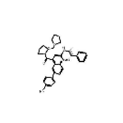 C[C@@H](Nc1cc(C(=O)N2CCC[C@H]2CN2CCCC2)c2cc(-c3ccc(C#N)cc3)ccc2n1)[C@@H](O)c1ccccc1